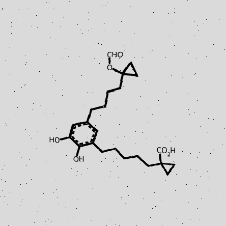 O=COC1(CCCCc2cc(O)c(O)c(CCCCCC3(C(=O)O)CC3)c2)CC1